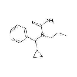 CCCN(C(N)=S)C(c1ccccc1)C1CC1